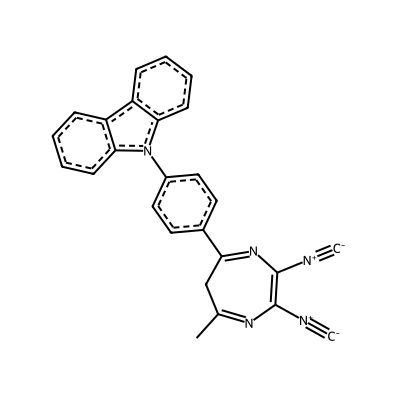 [C-]#[N+]C1=C([N+]#[C-])N=C(c2ccc(-n3c4ccccc4c4ccccc43)cc2)CC(C)=N1